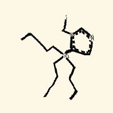 CCC[CH2][Sn]([CH2]CCC)([CH2]CCC)[c]1cncn1CI